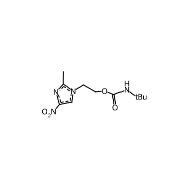 Cc1nc([N+](=O)[O-])cn1CCOC(=O)NC(C)(C)C